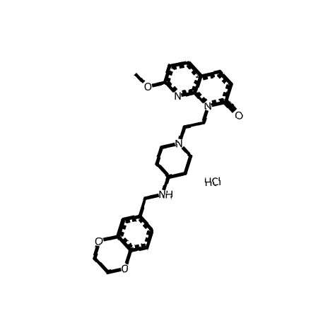 COc1ccc2ccc(=O)n(CCN3CCC(NCc4ccc5c(c4)OCCO5)CC3)c2n1.Cl